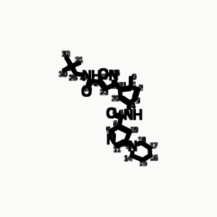 Cc1ccc(NC(=O)c2cncc(N3CCCCC3)c2)cc1-c1cc(C(=O)NCC(C)(C)C)on1